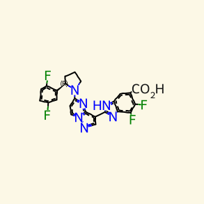 O=C(O)c1cc2[nH]c(-c3cnn4ccc(N5CCC[C@@H]5c5cc(F)ccc5F)nc34)nc2c(F)c1F